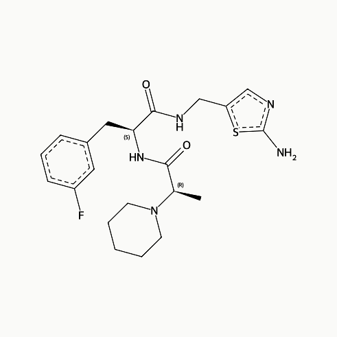 C[C@H](C(=O)N[C@@H](Cc1cccc(F)c1)C(=O)NCc1cnc(N)s1)N1CCCCC1